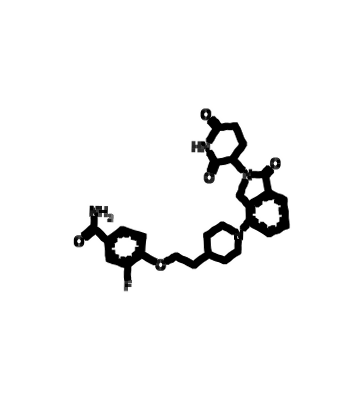 NC(=O)c1ccc(OCCC2CCN(c3cccc4c3CN(C3CCC(=O)NC3=O)C4=O)CC2)c(F)c1